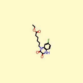 CCOC(=O)CCCCCn1c(=O)c(=O)[nH]c2ccc(F)cc21